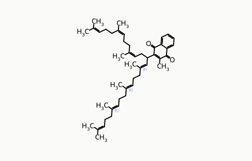 CC(C)=CCCC(C)=CCCC(C)=CCC(/C=C(\C)CC/C=C(\C)CC/C=C(\C)CCC=C(C)C)C1=C(C)C(=O)c2ccccc2C1=O